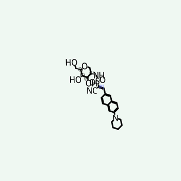 N#C/C(=C\c1ccc2cc(N3CCCCC3)ccc2c1)S(=O)(=O)N[C@H]1CO[C@H](CO)[C@@H](O)[C@@H]1O